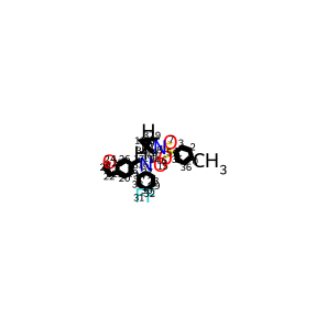 Cc1ccc(S(=O)(=O)N2C[C@H]3C[C@H]3[C@H]2C(=O)N(Cc2ccc3ccoc3c2)C2CCC(F)(F)CC2)cc1